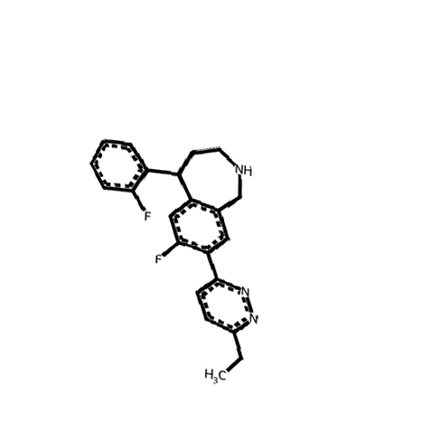 CCc1ccc(-c2cc3c(cc2F)C(c2ccccc2F)CCNC3)nn1